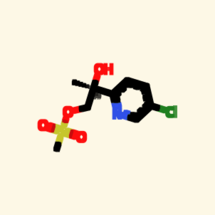 C[C@@](O)(COS(C)(=O)=O)c1ccc(Cl)cn1